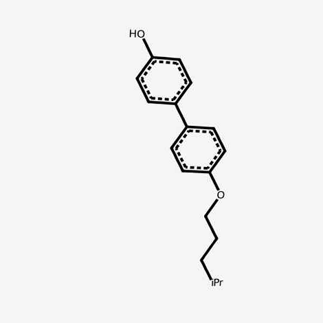 CC(C)CCCOc1ccc(-c2ccc(O)cc2)cc1